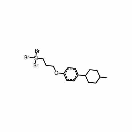 CC1CCC(c2ccc(OCCC[Si](Br)(Br)Br)cc2)CC1